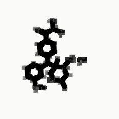 CCN(CC)C(=O)c1ccc(C(c2cccc(OC)c2)C2(C)CNC(C)CN2C)cc1.Cl.Cl